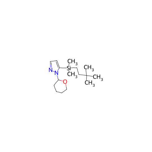 CC(C)(C)CC[Si](C)(C)c1ccnn1C1CCCCO1